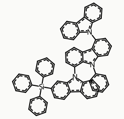 c1ccc(-n2c3cccc(-n4c5ccccc5c5ccccc54)c3c3cccc(-n4c5ccccc5c5ccc([Si](c6ccccc6)(c6ccccc6)c6ccccc6)cc54)c32)cc1